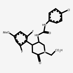 COc1cc(F)c(C2CC(=O)N(CC(=O)O)CC2NC(=O)Nc2ccc(Cl)cc2)c(F)c1